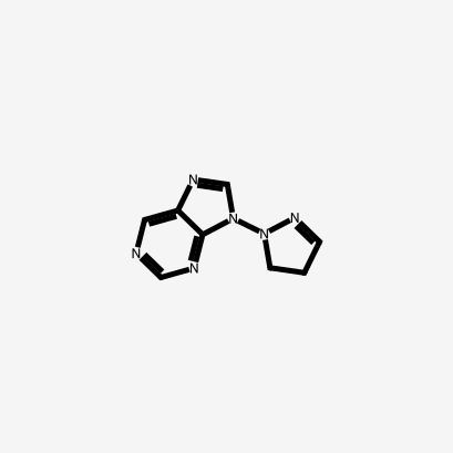 C1=NN(n2cnc3cncnc32)CC1